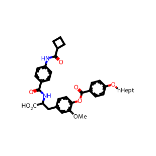 CCCCCCCOc1ccc(C(=O)Oc2ccc(CC(NC(=O)c3ccc(NC(=O)C4CCC4)cc3)C(=O)O)cc2OC)cc1